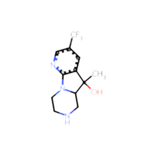 CC1(O)c2cc(C(F)(F)F)cnc2N2CCNCC21